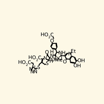 CCn1cc(C(=O)NC(C(=O)N[C@]2(OC)C(=O)N3C(C(=O)O)=C(CSc4nnnn4CC(=O)O)CS[C@H]32)c2ccc(OCC(=O)O)cc2)c(=O)c2cc(O)c(O)cc21